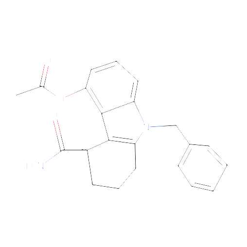 CC(=O)Oc1cccc2c1c1c(n2Cc2ccccc2)CCCC1C(N)=O